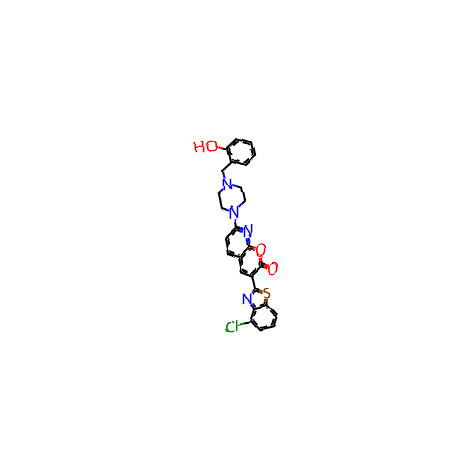 O=c1oc2nc(N3CCN(Cc4ccccc4O)CC3)ccc2cc1-c1nc2c(Cl)cccc2s1